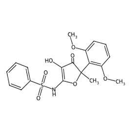 COc1cccc(OC)c1C1(C)OC(NS(=O)(=O)c2ccccc2)=C(O)C1=O